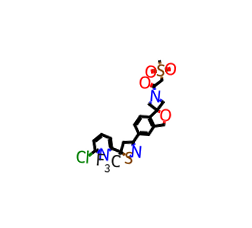 CS(=O)(=O)CC(=O)N1CC2(C1)OCc1cc(C3=NSC(c4cccc(Cl)n4)(C(F)(F)F)C3)ccc12